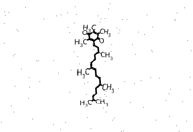 CC1=C(C)C(=O)C(CC[C@@H](C)CCC[C@H](C)CCC[C@@H](C)CCCC(C)C)=C(C)C1=O